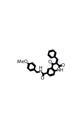 COc1ccc(CNC(=O)c2ccc3c(c2)C(=O)/C(=C\c2ccccc2)C(=O)N3)cc1